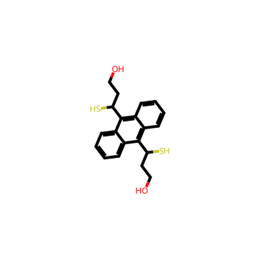 OCCC(S)c1c2ccccc2c(C(S)CCO)c2ccccc12